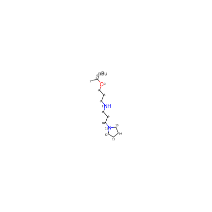 CCCCC(C)OCCCNCCCN1CCCC1